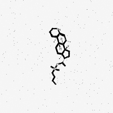 CCCC[Si](C)(C)OC(C)[C@H]1CC[C@H]2[C@@H]3[C@@H](C)C=C4NCCC[C@]4(C)[C@H]3CC[C@]12C